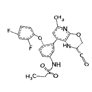 CCS(=O)(=O)Nc1ccc(Oc2ccc(F)cc2F)c(-c2cc(C)nc3c2NC(=C=O)CO3)c1